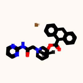 O=C(C[N+]12CCC(CC1)[C@@H](OC(=O)C1c3ccccc3Cc3ccccc31)C2)Nc1ncccn1.[Br-]